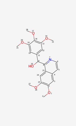 COc1cc2ccnc(C(O)c3cc(OC)c(OC)c(OC)c3)c2cc1OC